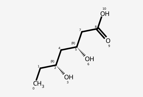 CC[C@@H](O)C[C@@H](O)CC(=O)O